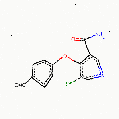 NC(=O)c1cncc(F)c1Oc1ccc(C=O)cc1